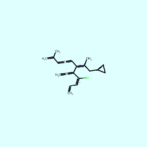 C=C=C(/C(C=C=CC(=C)C)=C(/C)CC1CC1)/C(Cl)=C\C=C